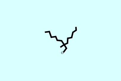 CCCCCCC(C)(CCl)CCCCCC